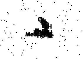 COc1cccc(CNC[C@@H](O)[C@H](Cc2ccccc2)NC(=O)CCNS(=O)(=O)c2ccc(Cl)cc2)c1